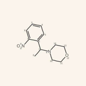 CC(c1ccccc1[N+](=O)[O-])N1CCOCC1